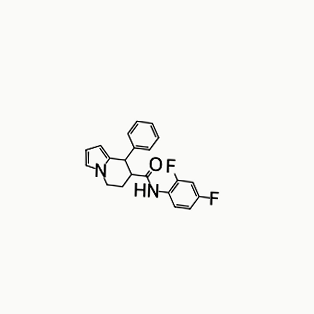 O=C(Nc1ccc(F)cc1F)C1CCn2cccc2C1c1ccccc1